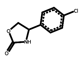 O=C1NC(c2ccc(Cl)cc2)CO1